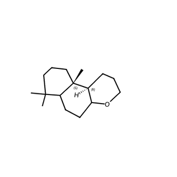 CC1(C)CCC[C@@]2(C)C1CCC1OCCC[C@@H]12